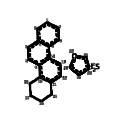 S.c1ccc2c(c1)ccc1c3c(ccc12)CCCC3.c1ccoc1